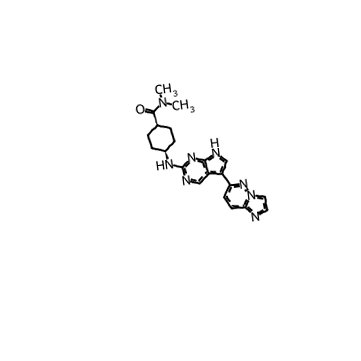 CN(C)C(=O)[C@H]1CC[C@@H](Nc2ncc3c(-c4ccc5nccn5n4)c[nH]c3n2)CC1